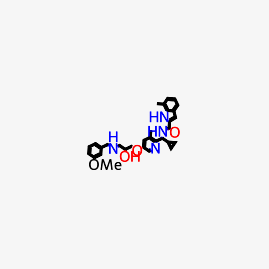 COc1cccc(CNCC(O)COc2cnc(C(NC(=O)c3cc4cccc(C)c4[nH]3)C3CC3)c(C)c2)c1